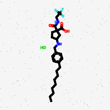 CCCCCCCCCc1ccc(CNC2CCC(C(=O)O)(C(=O)NCC(F)(F)F)C2)cc1.Cl